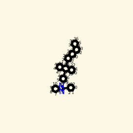 c1ccc(-c2nc3ccccc3n2-c2ccc(-c3c4ccccc4c(-c4ccc5cc6c(ccc7ccccc76)cc5c4)c4ccccc34)cc2)cc1